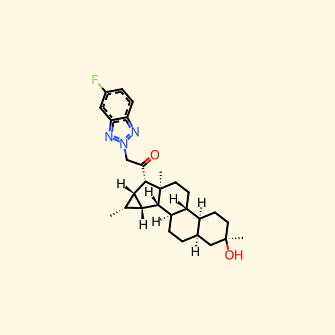 C[C@H]1[C@@H]2[C@H]1[C@H](C(=O)Cn1nc3ccc(F)cc3n1)[C@@]1(C)CC[C@H]3[C@@H](CC[C@@H]4C[C@](C)(O)CC[C@@H]43)[C@H]21